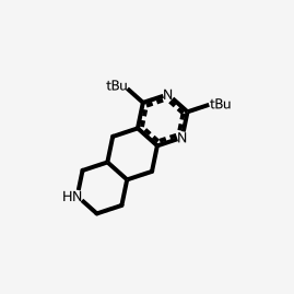 CC(C)(C)c1nc2c(c(C(C)(C)C)n1)CC1CNCCC1C2